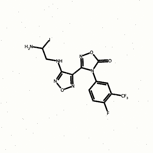 NC(I)CNc1nonc1-c1noc(=O)n1-c1ccc(F)c(C(F)(F)F)c1